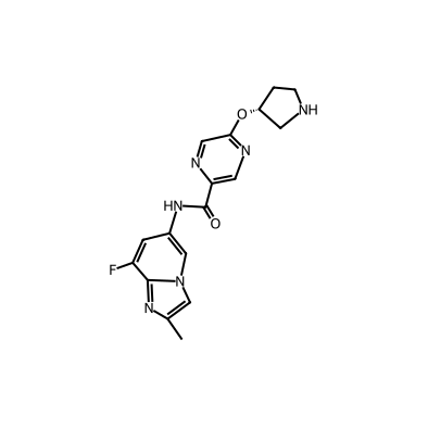 Cc1cn2cc(NC(=O)c3cnc(O[C@@H]4CCNC4)cn3)cc(F)c2n1